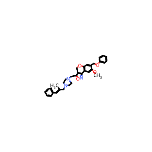 COc1cc2c(cc1COc1ccccc1)OCC1C2=NOC1CN1CCN(C/C(C)=C/c2ccccc2)CC1